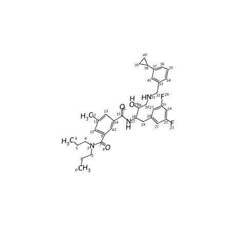 CCCN(CCC)C(=O)c1cc(C)cc(C(=O)NC(Cc2cc(F)cc(F)c2)C(O)CNCc2cccc(C3CC3)c2)c1